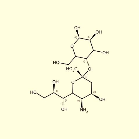 N[C@H]1C([C@H](O)[C@H](O)CO)O[C@@](O[C@@H]2C(CO)O[C@@H](O)[C@@H](O)C2O)(C(=O)O)C[C@H]1O